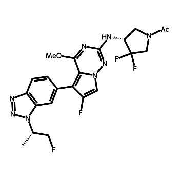 COc1nc(N[C@@H]2CN(C(C)=O)CC2(F)F)nn2cc(F)c(-c3ccc4nnn([C@@H](C)CF)c4c3)c12